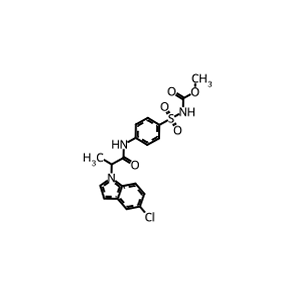 COC(=O)NS(=O)(=O)c1ccc(NC(=O)C(C)n2ccc3cc(Cl)ccc32)cc1